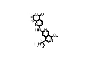 CC[C@@](C)(N)c1cnc(OC)c2cnc(Nc3ccc4c(n3)[C@H](C)[C@H](C)OC4=O)cc12